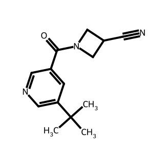 CC(C)(C)c1cncc(C(=O)N2CC(C#N)C2)c1